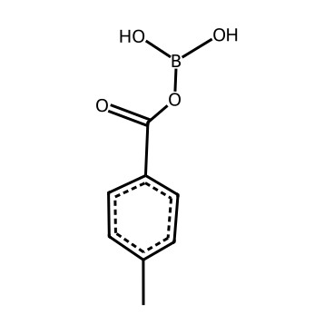 Cc1ccc(C(=O)OB(O)O)cc1